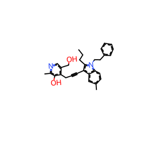 CCCc1c(C#CCc2c(CO)cnc(C)c2O)c2cc(C)ccc2n1CCc1ccccc1